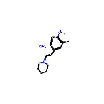 Cc1cc(CCN2CCCCC2)ccc1N.N